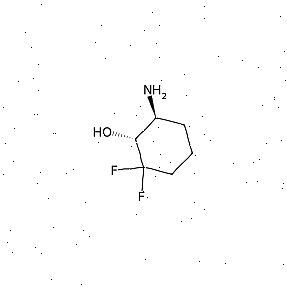 N[C@H]1CCCC(F)(F)[C@@H]1O